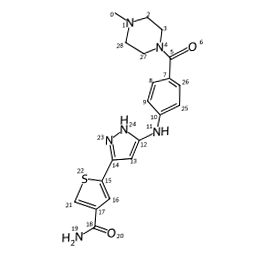 CN1CCN(C(=O)c2ccc(Nc3cc(-c4cc(C(N)=O)cs4)n[nH]3)cc2)CC1